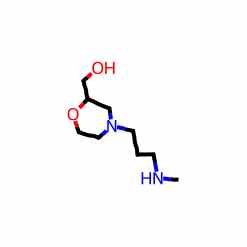 CNCCCN1CCOC(CO)C1